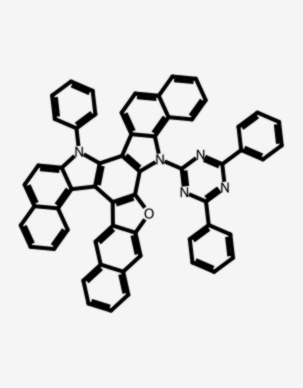 c1ccc(-c2nc(-c3ccccc3)nc(-n3c4c5ccccc5ccc4c4c5c(c6c7cc8ccccc8cc7oc6c43)c3c4ccccc4ccc3n5-c3ccccc3)n2)cc1